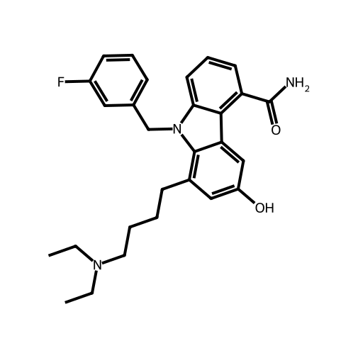 CCN(CC)CCCCc1cc(O)cc2c3c(C(N)=O)cccc3n(Cc3cccc(F)c3)c12